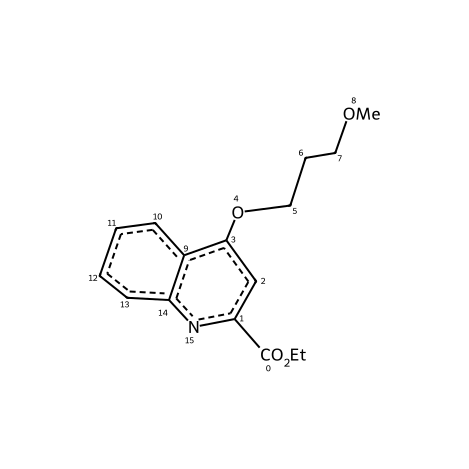 CCOC(=O)c1cc(OCCCOC)c2ccccc2n1